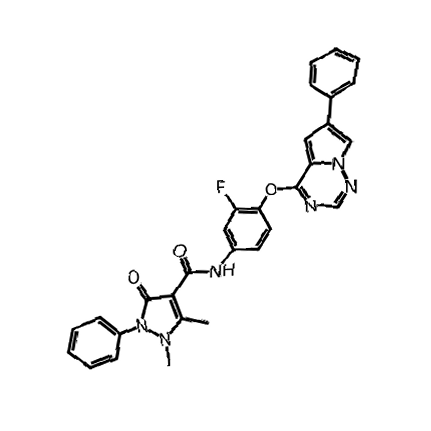 Cc1c(C(=O)Nc2ccc(Oc3ncnn4cc(-c5ccccc5)cc34)c(F)c2)c(=O)n(-c2ccccc2)n1C